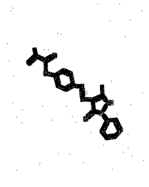 C=C(C)C(=O)Oc1ccc(/N=N/c2c(C)[nH]n(-c3ccccc3)c2=O)cc1